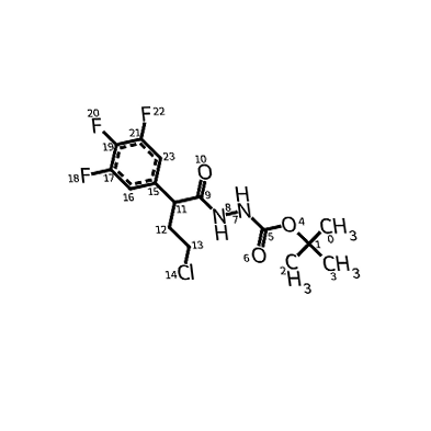 CC(C)(C)OC(=O)NNC(=O)C(CCCl)c1cc(F)c(F)c(F)c1